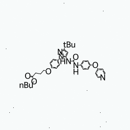 CCCCOC(=O)CCCOc1ccc(-n2nc(C(C)(C)C)cc2NC(=O)Nc2ccc(Oc3ccncc3)cc2)cc1